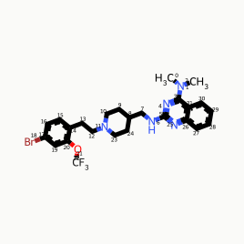 CN(C)c1nc(NCC2CCN(CCc3ccc(Br)cc3OC(F)(F)F)CC2)nc2ccccc12